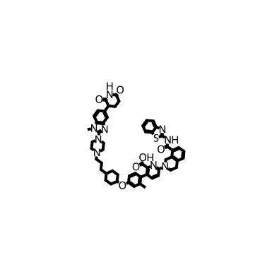 Cc1cc(OC2CCC(CCCN3CCN(c4nc5cc(C6CCC(=O)NC6=O)ccc5n4C)CC3)CC2)ccc1-c1ccc(N2CCc3cccc(C(=O)Nc4nc5ccccc5s4)c3C2)nc1C(=O)O